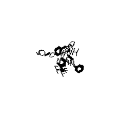 COCCOc1ccc(CS(=O)(=O)NCCNc2ccccc2)c(Oc2ncc(C(F)(F)F)cc2Cl)c1